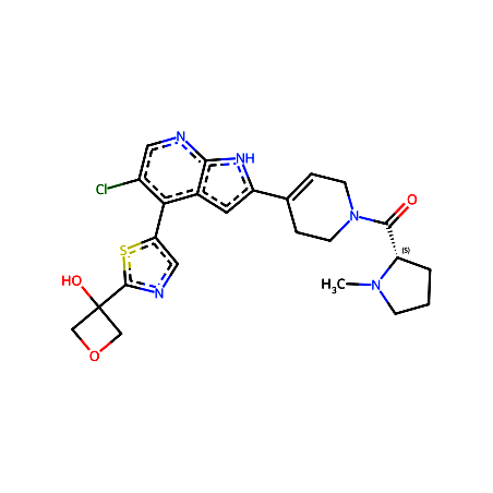 CN1CCC[C@H]1C(=O)N1CC=C(c2cc3c(-c4cnc(C5(O)COC5)s4)c(Cl)cnc3[nH]2)CC1